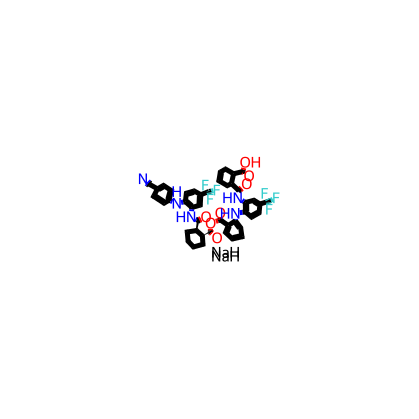 N#Cc1ccc(Nc2ccc(C(F)(F)F)cc2NC(=O)[C@@H]2CCCC[C@H]2C(=O)OC(=O)c2ccccc2Nc2ccc(C(F)(F)F)cc2NC(=O)C2CC=CCC2C(=O)O)cc1.[NaH].[NaH]